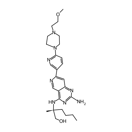 CCCC[C@](C)(CO)Nc1nc(N)nc2cc(-c3ccc(N4CCN(CCOC)CC4)nc3)ncc12